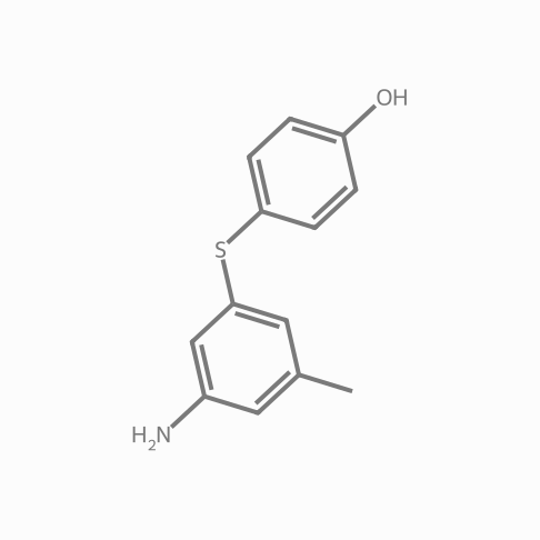 Cc1cc(N)cc(Sc2ccc(O)cc2)c1